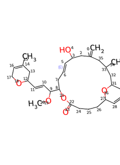 C=C1CC(O)/C=C/CC(C(C=CC2CC(C)=CCO2)OC)OC(=O)CCCC2C=CCC(CC(C)C1)O2